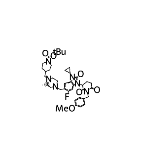 COc1ccc(CN2C(=O)CCC(n3c(=O)n(C4CC4)c4cc(CN5CCN(CC6CCN(C(=O)OC(C)(C)C)CC6)[C@@H](C)C5)c(F)cc43)C2=O)cc1